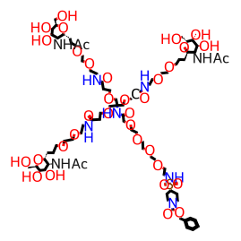 CC(=O)N[C@@H]1[C@@H](O)[C@@H](O)[C@@H](CO)O[C@@H]1CCCOCCOCCNC(=O)CCOCC(COCCC(=O)NCCOCCOCCC[C@H]1O[C@H](CO)[C@H](O)[C@H](O)[C@H]1NC(C)=O)(COCCC(=O)NCCOCCOCCC[C@H]1O[C@H](CO)[C@H](O)[C@H](O)[C@H]1NC(C)=O)NC(=O)COCCOCCOCCOCCNS(=O)(=O)C1CCN(C(=O)OCc2ccccc2)CC1